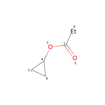 CCC(=O)OC1[CH]C1